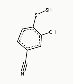 N#Cc1ccc(SS)c(O)c1